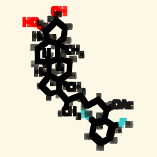 CC(=O)OC(CCC[C@@H](C)[C@H]1CC[C@H]2[C@@H]3CC[C@H]4[C@@H](O)[C@@H](O)CC[C@]4(C)[C@H]3CC[C@]12C)c1c(F)cccc1F